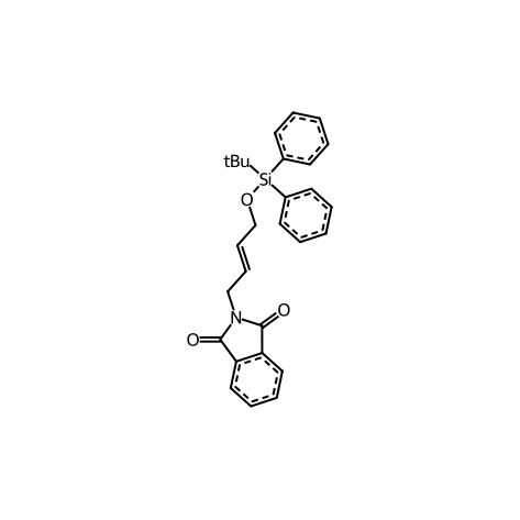 CC(C)(C)[Si](OCC=CCN1C(=O)c2ccccc2C1=O)(c1ccccc1)c1ccccc1